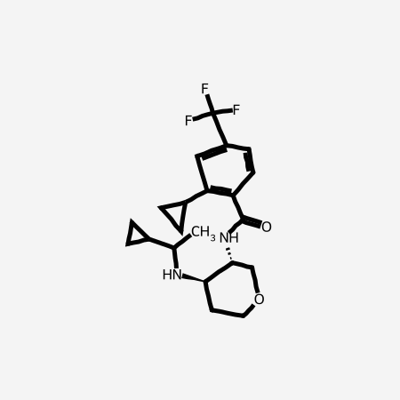 CC(N[C@@H]1CCOC[C@H]1NC(=O)c1ccc(C(F)(F)F)cc1C1CC1)C1CC1